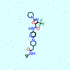 O=C(CC1CCN(c2ccc(NC(=O)c3oc(N4CCCCC4)nc3C(F)(F)F)cn2)CC1)NC1CC1